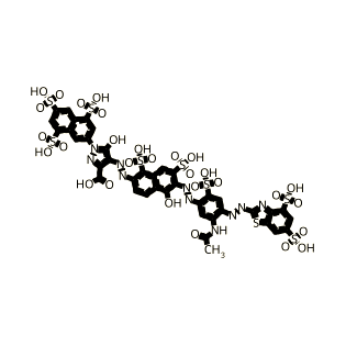 CC(=O)Nc1cc(N=Nc2c(S(=O)(=O)O)cc3c(S(=O)(=O)O)c(N=Nc4c(C(=O)O)nn(-c5cc(S(=O)(=O)O)c6cc(S(=O)(=O)O)cc(S(=O)(=O)O)c6c5)c4O)ccc3c2O)c(S(=O)(=O)O)cc1N=Nc1nc2c(S(=O)(=O)O)cc(S(=O)(=O)O)cc2s1